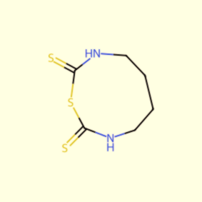 S=C1NCCCCNC(=S)S1